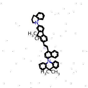 CC1(C)c2cc(/C=C/c3ccc(N4c5ccccc5C(C)(C)c5ccccc54)c4ccccc34)ccc2-c2ccc(N3CCCc4ccccc43)cc21